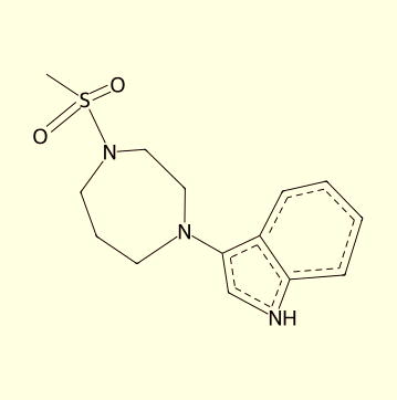 CS(=O)(=O)N1CCCN(c2c[nH]c3ccccc23)CC1